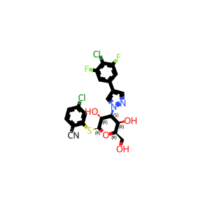 N#Cc1ccc(Cl)cc1S[C@H]1O[C@H](CO)[C@H](O)[C@H](n2cc(-c3cc(F)c(Cl)c(F)c3)cn2)[C@H]1O